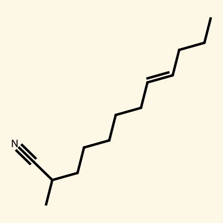 CCCC=CCCCCCC(C)C#N